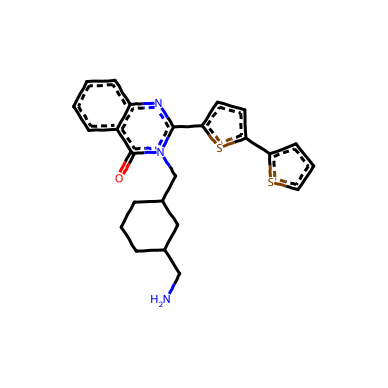 NCC1CCCC(Cn2c(-c3ccc(-c4cccs4)s3)nc3ccccc3c2=O)C1